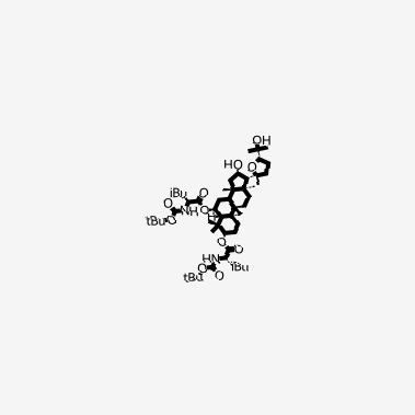 CCC(C)[C@H](NC(=O)OC(C)(C)C)C(=O)O[C@H]1CC2[C@]3(CC[C@]4(C)[C@@H]([C@@]5(C)CC[C@@H](C(C)(C)O)O5)[C@@H](O)C[C@@]24C)C[C@@]32CC[C@H](OC(=O)[C@@H](NC(=O)OC(C)(C)C)C(C)CC)C(C)(C)[C@H]12